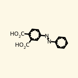 O=C(O)c1ccc(N=Nc2ccccc2)cc1C(=O)O